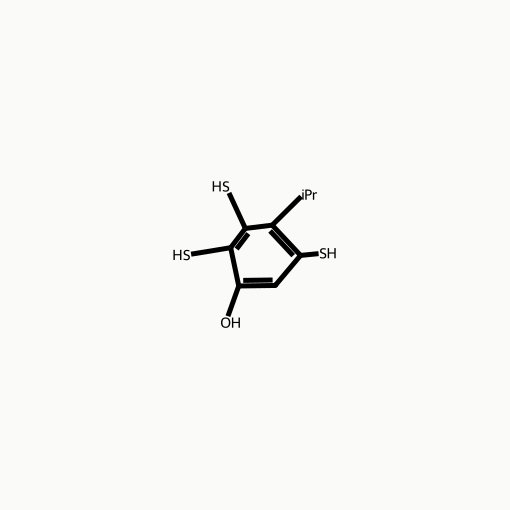 CC(C)c1c(S)cc(O)c(S)c1S